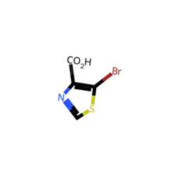 O=C(O)c1ncsc1Br